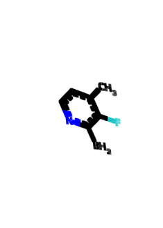 Bc1nccc(C)c1F